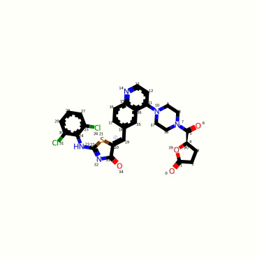 O=C1CC[C@H](C(=O)N2CCN(c3ccnc4ccc(/C=C5\SC(Nc6c(Cl)cccc6Cl)=NC5=O)cc34)CC2)O1